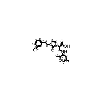 CC(C)CC(NCC(C(=O)O)n1ccn(CCc2cccc(Cl)c2)c1=O)C(=O)O